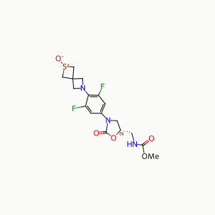 COC(=O)NC[C@H]1CN(c2cc(F)c(N3CC4(C3)C[S+]([O-])C4)c(F)c2)C(=O)O1